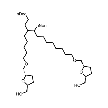 CCCCCCCCCCCCC(CCCCCOC[C@@H]1CC[C@@H](CO)O1)C(CCCCCCCCC)CCCCCCCCOC[C@H]1CC[C@@H](CO)O1